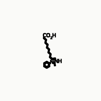 Cc1[nH]cc(CCCCCCCCCC(=O)O)[n+]1-c1ccccc1